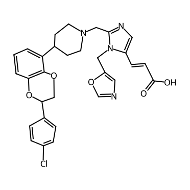 O=C(O)C=Cc1cnc(CN2CCC(c3cccc4c3OCC(c3ccc(Cl)cc3)O4)CC2)n1Cc1cnco1